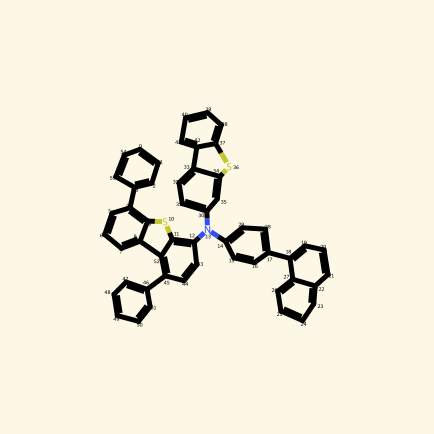 c1ccc(-c2cccc3c2sc2c(N(c4ccc(-c5cccc6ccccc56)cc4)c4ccc5c(c4)sc4ccccc45)ccc(-c4ccccc4)c23)cc1